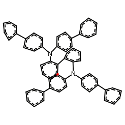 c1ccc(-c2ccc(N(c3ccc(-c4ccccc4)cc3)c3ccccc3-c3ccccc3N(c3ccc(-c4ccccc4)cc3)c3ccc(-c4ccccc4)cc3)cc2)cc1